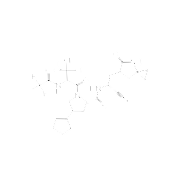 CC(C)(C)C(NC(=O)C(F)(F)F)C(=O)N1CC(C2CCCC2)C[C@H]1C(=O)NC(C#N)CC1CC2(CC2)NC1=O